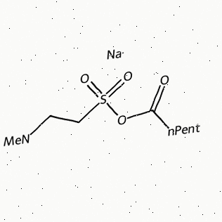 CCCCCC(=O)OS(=O)(=O)CCNC.[Na]